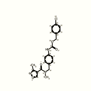 Cc1nocc1C(=O)N(C)Cc1ccc(NC(=O)OCc2ccc(Cl)cc2)cc1